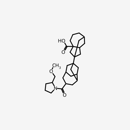 COCC1CCCN1C(=O)C1CC2CC3CC(C45CC6CCCC(C(=O)O)(C4)C(C6)C5)(C2)CC3C1